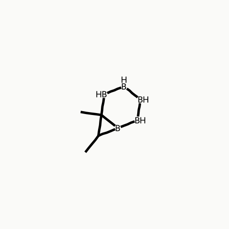 CC1B2BBBBC21C